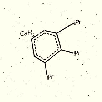 CC(C)c1cccc(C(C)C)c1C(C)C.[CaH2]